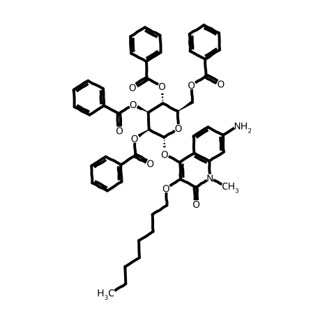 CCCCCCCCOc1c(O[C@H]2O[C@H](COC(=O)c3ccccc3)[C@@H](OC(=O)c3ccccc3)[C@H](OC(=O)c3ccccc3)[C@@H]2OC(=O)c2ccccc2)c2ccc(N)cc2n(C)c1=O